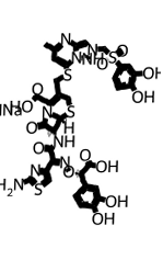 CC1=NC2=CN(CS(=O)(=O)c3ccc(O)c(O)c3)NN2C(SCC2=C(C(=O)O)N3C(=O)[C@@H](NC(=O)C(=NO[C@H](C(=O)O)c4ccc(O)c(O)c4)c4csc(N)n4)[C@H]3SC2)=C1.[NaH]